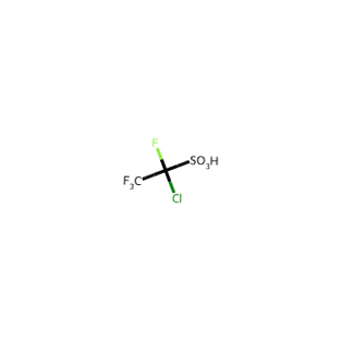 O=S(=O)(O)C(F)(Cl)C(F)(F)F